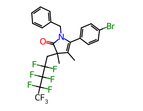 CC1=C(c2ccc(Br)cc2)N(Cc2ccccc2)C(=O)C1(C)CC(F)(F)C(F)(F)C(F)(F)C(F)(F)F